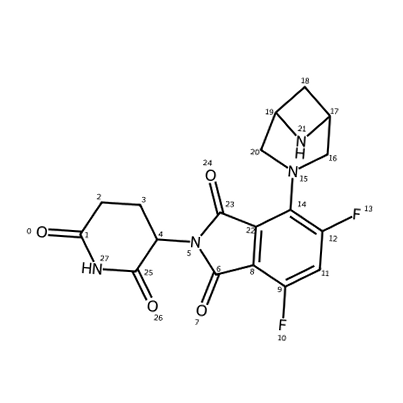 O=C1CCC(N2C(=O)c3c(F)cc(F)c(N4CC5CC(C4)N5)c3C2=O)C(=O)N1